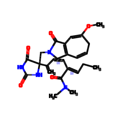 C=C(/C=C\C(=C/CC)C(=O)N(C)C)C1(CN2CC3=C(C=C(OC)CC=C3)C2=O)NC(=O)NC1=O